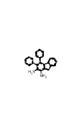 Nc1c(N)c(-c2ccccc2)c(-c2ccccc2)c2c1Cc1ccccc1-2